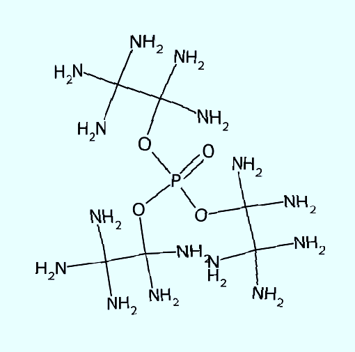 NC(N)(N)C(N)(N)OP(=O)(OC(N)(N)C(N)(N)N)OC(N)(N)C(N)(N)N